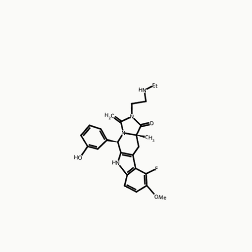 C=C1N(CCNCC)C(=O)[C@]2(C)Cc3c([nH]c4ccc(OC)c(F)c34)[C@@H](c3cccc(O)c3)N12